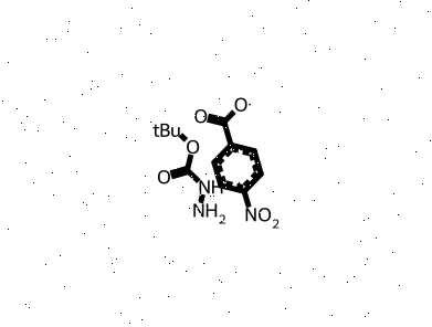 CC(C)(C)OC(=O)NN.[O]C(=O)c1ccc([N+](=O)[O-])cc1